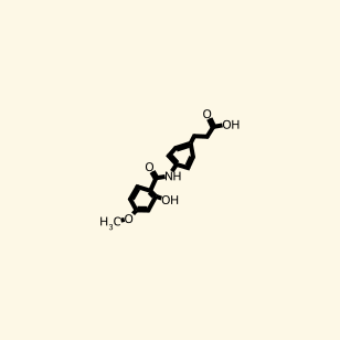 COc1ccc(C(=O)Nc2ccc(CCC(=O)O)cc2)c(O)c1